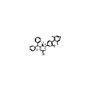 Cc1cncc(C)c1-c1ccc(NC(=O)C(NC(=O)O)C(c2ccccc2)c2ccccc2)cc1F